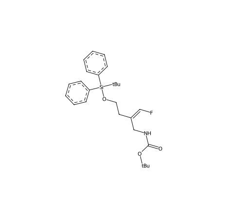 CC(C)(C)OC(=O)NCC(=CF)CCO[Si](c1ccccc1)(c1ccccc1)C(C)(C)C